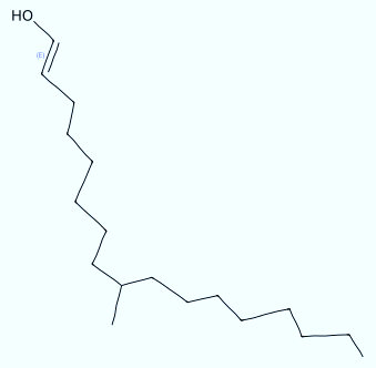 CCCCCCCCC(C)CCCCCC/C=C/O